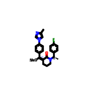 CO/C(=C1\CCCN([C@@H](C)c2ccc(F)cc2)C1=O)c1ccc(-n2cnc(C)c2)cc1